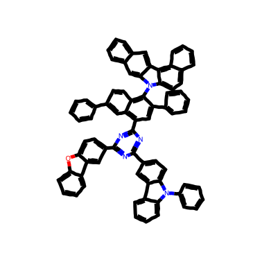 c1ccc(-c2ccc3c(-n4c5cc6ccccc6cc5c5c6ccccc6ccc54)c(-c4ccccc4)cc(-c4nc(-c5ccc6oc7ccccc7c6c5)nc(-c5ccc6c(c5)c5ccccc5n6-c5ccccc5)n4)c3c2)cc1